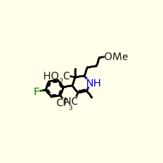 COCCCC1NC(C)=C(C#N)C(c2ccc(F)cc2C(F)(F)F)C1(C)C(=O)O